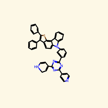 C1=CC(c2nc(-c3ccncc3)nc(-c3cccc(-n4c5ccccc5c5c6sc(-c7ccccc7)c(-c7ccccc7)c6ccc54)c3)n2)=CCN1